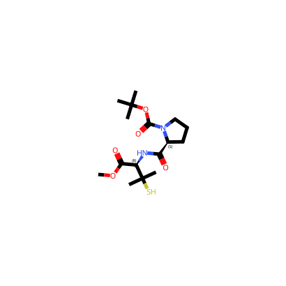 COC(=O)[C@@H](NC(=O)[C@@H]1CCCN1C(=O)OC(C)(C)C)C(C)(C)S